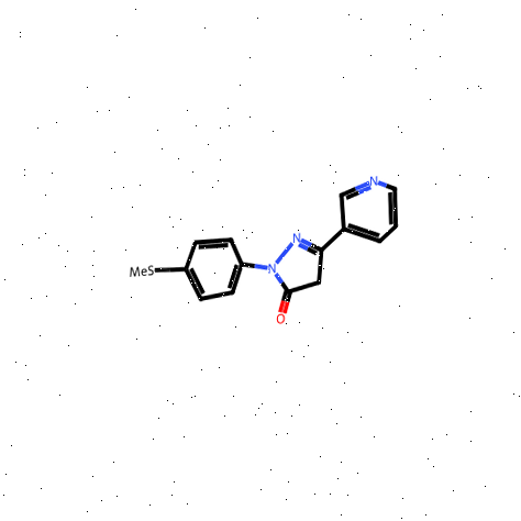 CSc1ccc(N2N=C(c3cccnc3)CC2=O)cc1